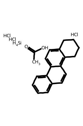 CC(=O)O.Cl.Cl.Cl.[SiH4].c1ccc2c(c1)ccc1c3c(ccc12)CCCC3